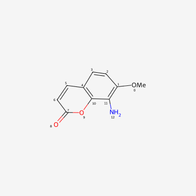 COc1ccc2ccc(=O)oc2c1N